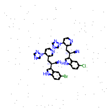 N#C/C(=C\c1cnccc1-n1cncn1)c1c[nH]c2ccc(Br)cc12.N#C/C(=C\c1cnccc1-n1cncn1)c1c[nH]c2ccc(Cl)cc12